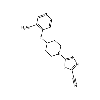 N#Cc1nnc(N2CCC(Oc3ccncc3[AsH2])CC2)s1